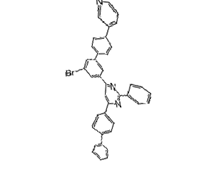 Brc1cc(-c2ccc(-c3cccnc3)cc2)cc(-c2cc(-c3ccc(-c4ccccc4)cc3)nc(-c3ccccc3)n2)c1